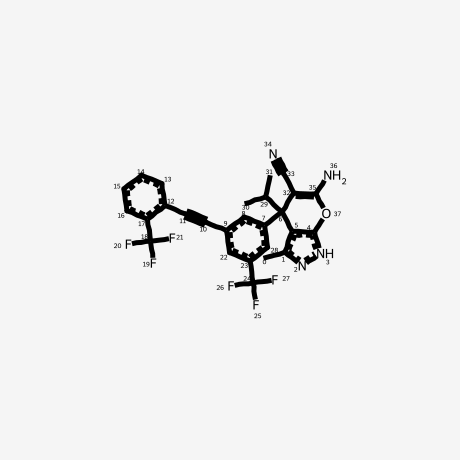 Cc1n[nH]c2c1C(c1cc(C#Cc3ccccc3C(F)(F)F)cc(C(F)(F)F)c1)(C(C)C)C(C#N)=C(N)O2